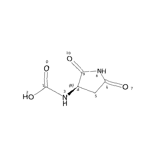 O=C(O)N[C@@H]1CC(=O)NC1=O